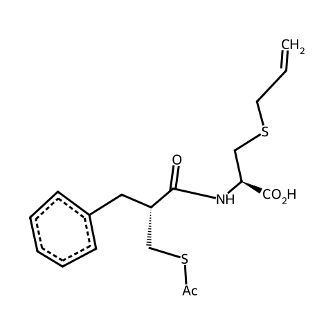 C=CCSC[C@H](NC(=O)[C@H](CSC(C)=O)Cc1ccccc1)C(=O)O